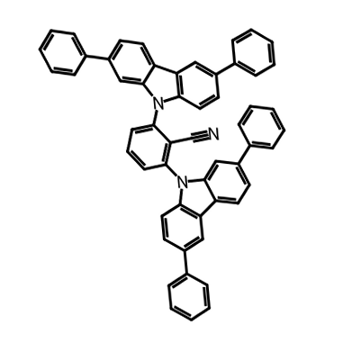 N#Cc1c(-n2c3ccc(-c4ccccc4)cc3c3ccc(-c4ccccc4)cc32)cccc1-n1c2ccc(-c3ccccc3)cc2c2ccc(-c3ccccc3)cc21